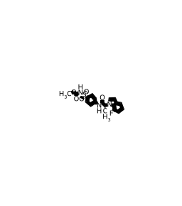 COC(=O)NS(=O)(=O)c1ccc(NC(=O)[C@@H](C)n2ccc3cccc(F)c32)cc1